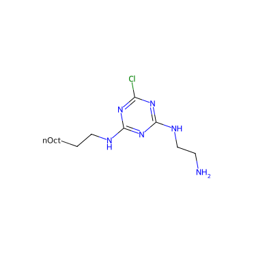 CCCCCCCCCCNc1nc(Cl)nc(NCCN)n1